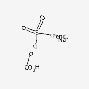 CCCCCS(=O)(=O)Cl.O=C([O-])O.[Na+]